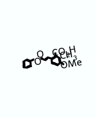 COc1ccc(/C=C/C(=O)OCc2ccccc2)c(C(=O)O)c1C